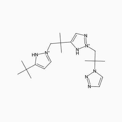 CC(C)(C)c1cc[n+](CC(C)(C)c2cn[n+](CC(C)(C)n3ccnn3)[nH]2)[nH]1